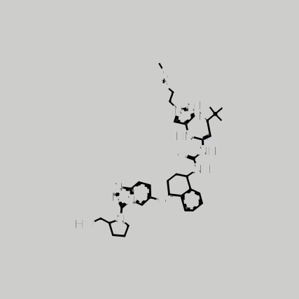 CSOCCn1cc(N/C(=C\C(=N)C(C)(C)C)NC(=O)NC2CC[C@@H](Oc3ccc4nnc(N5CCCC5CO)n4c3)c3ccccc32)cn1